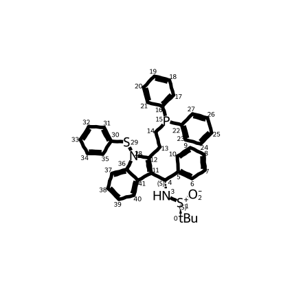 CC(C)(C)[S@@+]([O-])N[C@@H](c1ccccc1)c1c(CCP(c2ccccc2)c2ccccc2)n(Sc2ccccc2)c2ccccc12